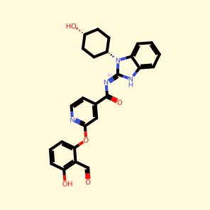 O=Cc1c(O)cccc1Oc1cc(C(=O)/N=c2\[nH]c3ccccc3n2[C@H]2CC[C@@H](O)CC2)ccn1